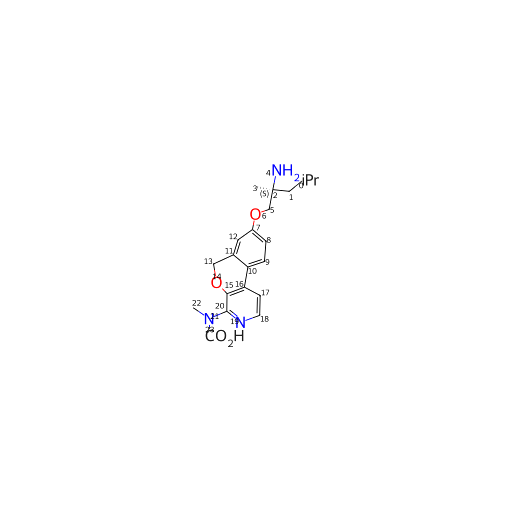 CC(C)C[C@](C)(N)COc1ccc2c(c1)COc1c-2ccnc1N(C)C(=O)O